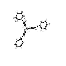 C(#Cc1ccccc1)B(C#Cc1ccccc1)C#Cc1ccccc1